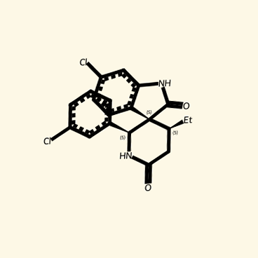 CC[C@H]1CC(=O)N[C@@H](c2cccc(Cl)c2)[C@]12C(=O)Nc1cc(Cl)ccc12